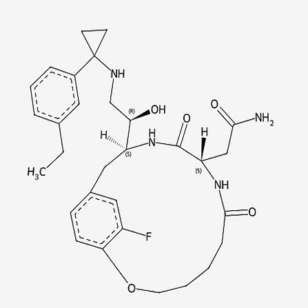 CCc1cccc(C2(NC[C@@H](O)[C@@H]3Cc4ccc(c(F)c4)OCCCCC(=O)N[C@@H](CC(N)=O)C(=O)N3)CC2)c1